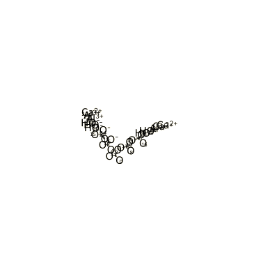 O=C([O-])[O-].O=C([O-])[O-].O=C([O-])[O-].O=C([O-])[O-].O=C([O-])[O-].[Al+3].[Al+3].[Al+3].[Ca+2].[Ca+2].[Ca+2].[OH-].[OH-].[OH-].[OH-].[OH-]